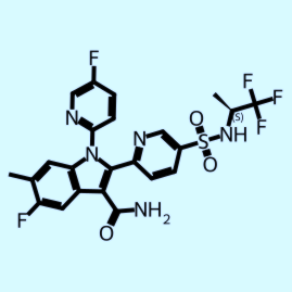 Cc1cc2c(cc1F)c(C(N)=O)c(-c1ccc(S(=O)(=O)N[C@@H](C)C(F)(F)F)cn1)n2-c1ccc(F)cn1